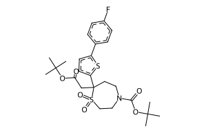 CC(C)(C)OC(=O)CC1(c2ccc(-c3ccc(F)cc3)s2)CCN(C(=O)OC(C)(C)C)CCS1(=O)=O